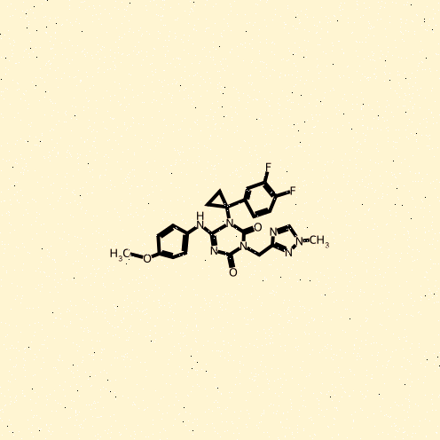 COc1ccc(Nc2nc(=O)n(Cc3ncn(C)n3)c(=O)n2C2(c3ccc(F)c(F)c3)CC2)cc1